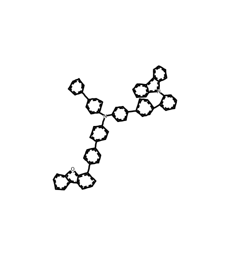 c1ccc(-c2ccc(N(c3ccc(-c4ccc(-c5ccccc5-n5c6ccccc6c6ccccc65)cc4)cc3)c3ccc(-c4ccc(-c5cccc6c5oc5ccccc56)cc4)cc3)cc2)cc1